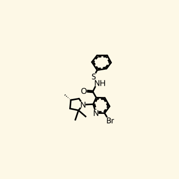 C[C@@H]1CN(c2nc(Br)ccc2C(=O)NSc2ccccc2)C(C)(C)C1